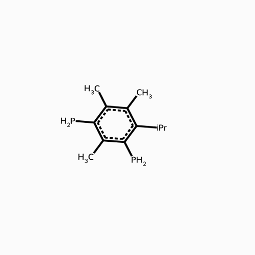 Cc1c(C)c(C(C)C)c(P)c(C)c1P